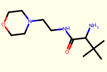 CC(C)(C)C(N)C(=O)NCCN1CCOCC1